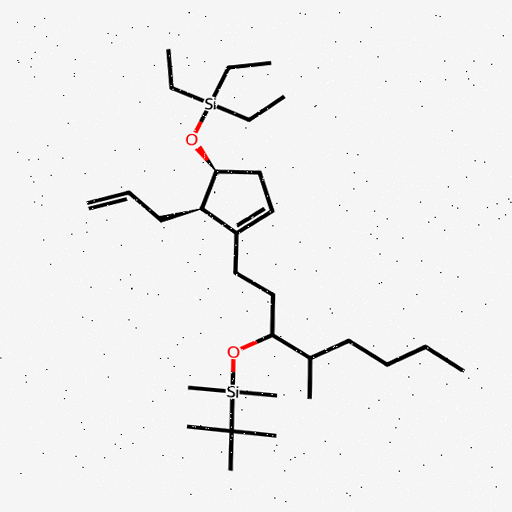 C=CC[C@@H]1C(CCC(O[Si](C)(C)C(C)(C)C)C(C)CCCC)=CC[C@@H]1O[Si](CC)(CC)CC